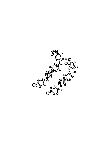 Clc1ccc(Cc2noc(N3CCN(Cc4ccc5c(c4)OCO5)CC3)n2)cc1.Clc1ccc(Cc2noc(N3CCN(Cc4ccc5c(c4)OCO5)CC3)n2)cc1